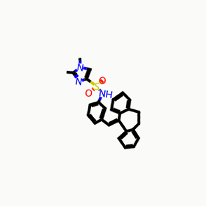 Cc1nc(S(=O)(=O)Nc2cccc(C=C3c4ccccc4CCc4ccccc43)c2)cn1C